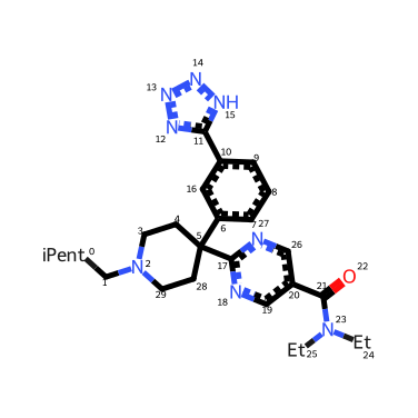 CCCC(C)CN1CCC(c2cccc(-c3nnn[nH]3)c2)(c2ncc(C(=O)N(CC)CC)cn2)CC1